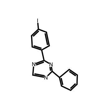 Ic1ccc(-c2ncnc(-c3ccccc3)n2)cc1